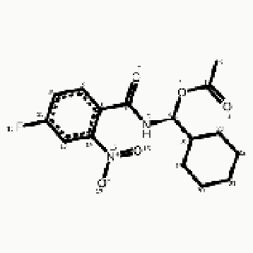 CC(=O)O[C@H](NC(=O)c1ccc(F)cc1[N+](=O)[O-])C1CCCCC1